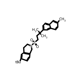 Cc1ccc2cc(C(C)(C)CCS(=O)(=O)N3CCc4cc(C(C)(C)C)ccc4C3)ccc2c1